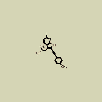 Cc1ccc(C#Cc2[nH]c3nc(F)ccc3c2CN(C)C)cc1